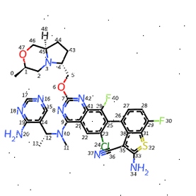 C[C@@H]1CN2[C@@H](COc3nc(N(C)[C@H](C)c4cncnc4N)c4cc(Cl)c(-c5ccc(F)c6sc(N)c(C#N)c56)c(F)c4n3)CC[C@@H]2CO1